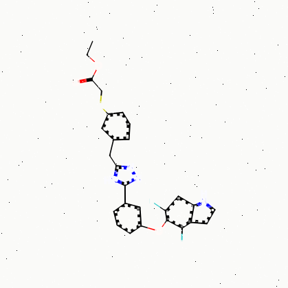 CCOC(=O)CSc1cccc(Cc2nnc(-c3cccc(Oc4c(F)cc5[nH]ccc5c4F)c3)[nH]2)c1